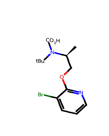 C[C@@H](COc1ncccc1Br)N(C(=O)O)C(C)(C)C